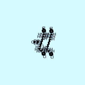 CC(=O)O.CC(=O)O.N=C(NCCCCCCNC(=N)NC(=N)Nc1ccc(Cl)cc1)NC(=N)Nc1ccc(Cl)cc1.N=C(NCCCCCCNC(=N)NC(=N)Nc1ccc(Cl)cc1)NC(=N)Nc1ccc(Cl)cc1